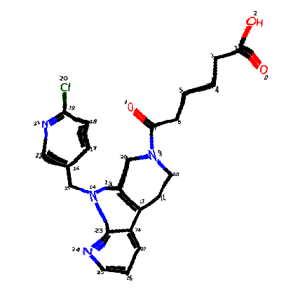 O=C(O)CCCCC(=O)N1CCc2c(n(Cc3ccc(Cl)nc3)c3ncccc23)C1